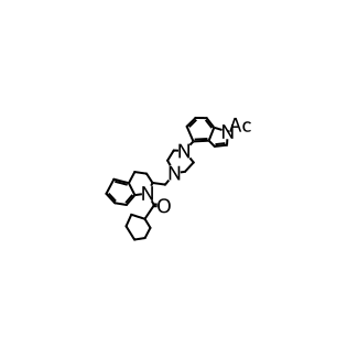 CC(=O)n1ccc2c(N3CCN(CC4CCc5ccccc5N4C(=O)C4CCCCC4)CC3)cccc21